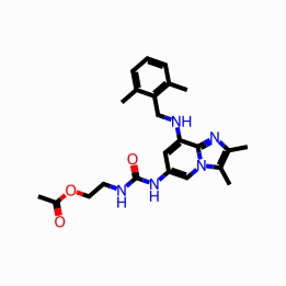 CC(=O)OCCNC(=O)Nc1cc(NCc2c(C)cccc2C)c2nc(C)c(C)n2c1